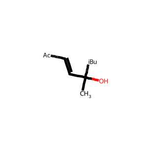 CCC(C)C(C)(O)/C=C/C(C)=O